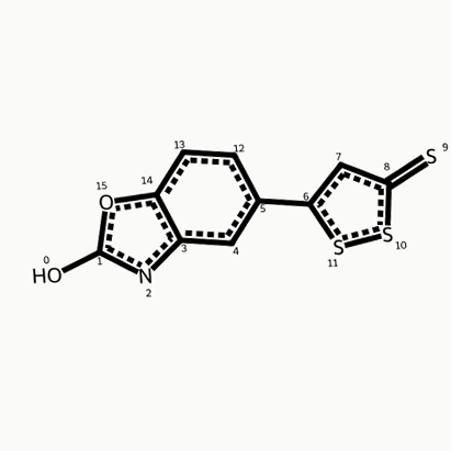 Oc1nc2cc(-c3cc(=S)ss3)ccc2o1